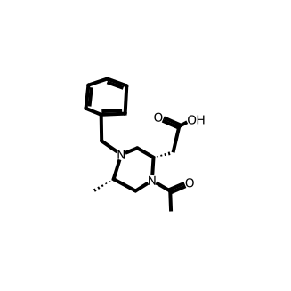 CC(=O)N1C[C@H](C)N(Cc2ccccc2)C[C@@H]1CC(=O)O